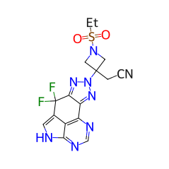 CCS(=O)(=O)N1CC(CC#N)(n2nc3c(n2)C(F)(F)c2c[nH]c4ncnc-3c24)C1